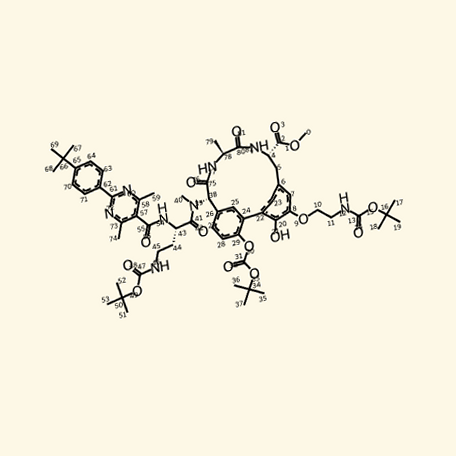 COC(=O)[C@@H]1Cc2cc(OCCNC(=O)OC(C)(C)C)c(O)c(c2)-c2cc(ccc2OC(=O)OC(C)(C)C)[C@H](N(C)C(=O)[C@H](CCNC(=O)OC(C)(C)C)NC(=O)c2c(C)nc(-c3ccc(C(C)(C)C)cc3)nc2C)C(=O)N[C@@H](C)C(=O)N1